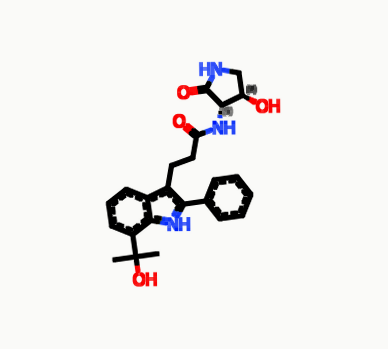 CC(C)(O)c1cccc2c(CCC(=O)N[C@@H]3C(=O)NC[C@H]3O)c(-c3ccccc3)[nH]c12